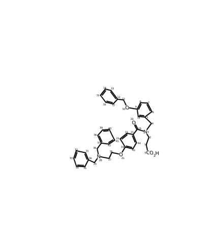 O=C(O)CCN(Cc1cccc(OCc2ccccc2)c1)C(=O)c1ccc(OCCN(Cc2ccccc2)Cc2ccccc2)cc1